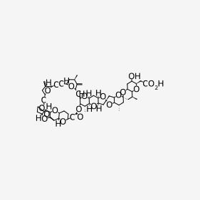 C=C1C2C[C@@H]3O[C@H]4C[C@H]5O[C@@]6(CC7O[C@]8(C[C@H](C)C9O[C@H](CC(=O)O)[C@H](O)CC9O8)C[C@H](C)C7O6)C[C@H]5O[C@H]4[C@H](C)C3OC(=O)CC3CCC4OC5C6O[C@@H]7C[C@](CCC8CC(=C)[C@H](CC[C@@H](C[C@H]1C)O2)O8)(OC6[C@H]4O3)O[C@@H]57